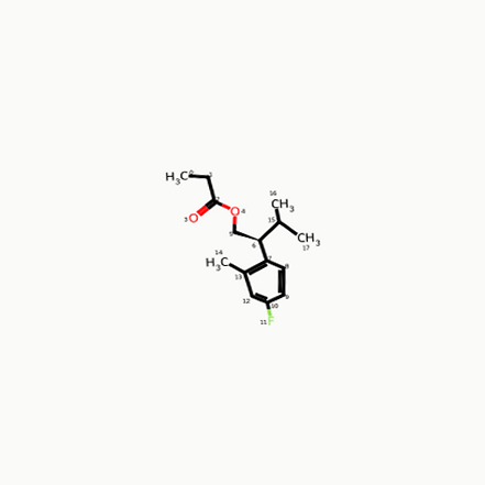 CCC(=O)OC[C@H](c1ccc(F)cc1C)C(C)C